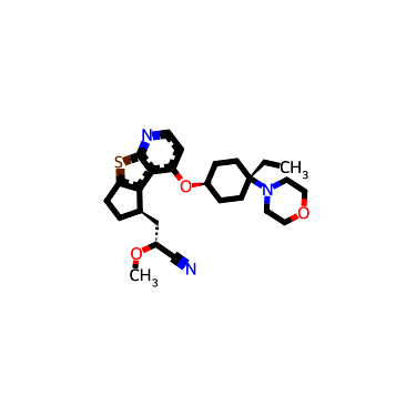 CC[C@]1(N2CCOCC2)CC[C@H](Oc2ccnc3sc4c(c23)[C@@H](C[C@H](C#N)OC)CC4)CC1